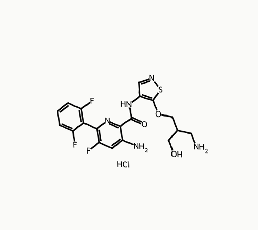 Cl.NCC(CO)COc1sncc1NC(=O)c1nc(-c2c(F)cccc2F)c(F)cc1N